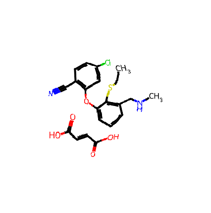 CCSc1c(CNC)cccc1Oc1cc(Cl)ccc1C#N.O=C(O)C=CC(=O)O